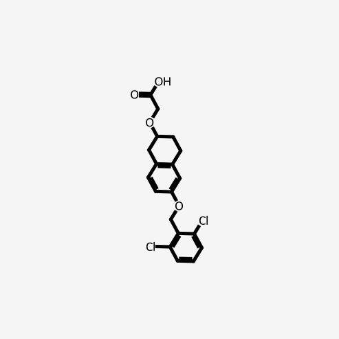 O=C(O)COC1CCc2cc(OCc3c(Cl)cccc3Cl)ccc2C1